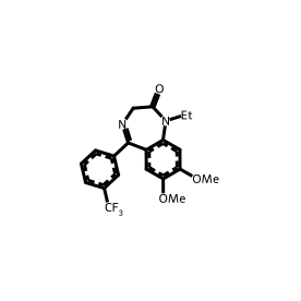 CCN1C(=O)CN=C(c2cccc(C(F)(F)F)c2)c2cc(OC)c(OC)cc21